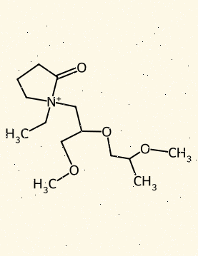 CC[N+]1(CC(COC)OCC(C)OC)CCCC1=O